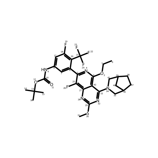 CCOc1nc(-c2cc(NC(=O)OC(C)(C)C)cc(F)c2C(F)(F)F)c(F)c2nc(SC)nc(N3CC4CCC(C4)C3)c12